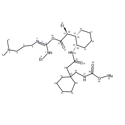 CCN/C(=N\CCCN(C)C)OC(=O)[C@@H](CC)[C@@H]1CCCC[C@@H]1NC(=O)CC1(CNC(=O)OC(C)(C)C)CCCCC1